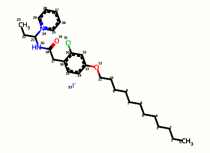 CCCCCCCCCCCCOc1ccc(CC(=O)NC(CC)[n+]2ccccc2)c(Cl)c1.[I-]